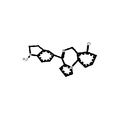 CN1CCc2cc(C3=NCc4c(Cl)cccc4-n4cccc43)ccc21